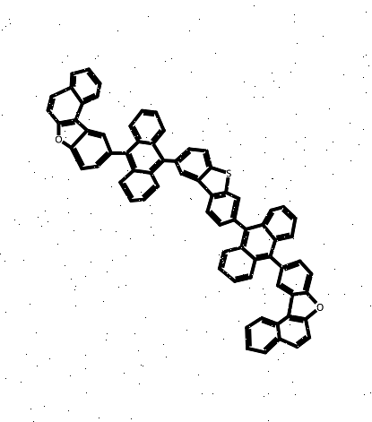 c1ccc2c(c1)ccc1oc3ccc(-c4c5ccccc5c(-c5ccc6c(c5)sc5ccc(-c7c8ccccc8c(-c8ccc9oc%10ccc%11ccccc%11c%10c9c8)c8ccccc78)cc56)c5ccccc45)cc3c12